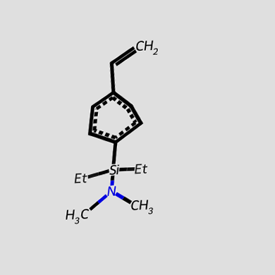 C=Cc1ccc([Si](CC)(CC)N(C)C)cc1